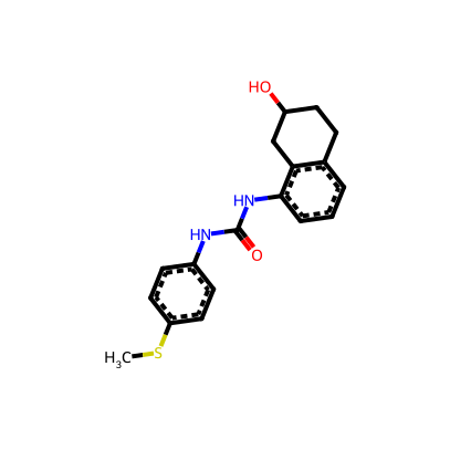 CSc1ccc(NC(=O)Nc2cccc3c2CC(O)CC3)cc1